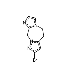 Brc1cc2n(n1)Cc1nccn1CC2